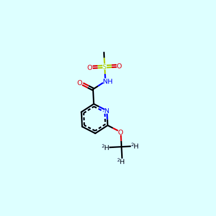 [2H]C([2H])([2H])Oc1cccc(C(=O)NS(C)(=O)=O)n1